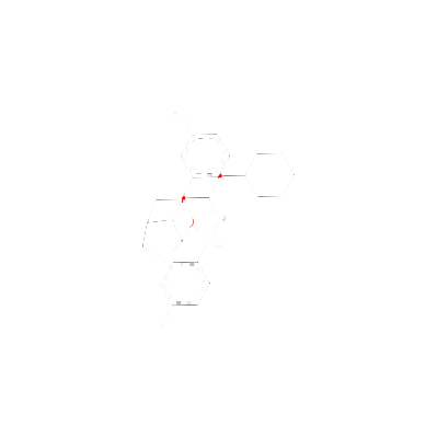 Cc1ccc(S(=O)(=O)NC(CC2CCCCC2)CN2C3CCC2CC(c2cccc(O)c2)C3)cc1